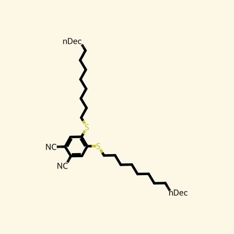 CCCCCCCCCCCCCCCCCCSc1cc(C#N)c(C#N)cc1SCCCCCCCCCCCCCCCCCC